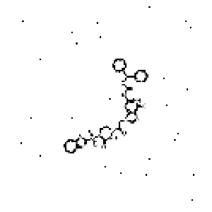 O=C(Nc1nc2c(ncn2CC(=O)N2CCN(S(=O)(=O)c3nc4ccccc4s3)C(=O)N2)c(=O)[nH]1)OC(c1ccccc1)c1ccccc1